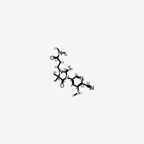 CSc1cc(N2C(=O)C(C)(C)N(CCC(=O)N(C)C)C2=S)cnc1C#N